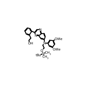 COc1cc(OC)cc(N(CCO[Si](C)(C)C(C)(C)C)c2ccc3ncc(-c4ccccc4CCO)nc3c2)c1